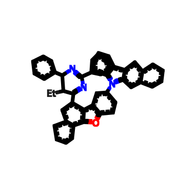 CCC1C(c2cc3ccccc3c3oc4ccc(-n5c6ccccc6c6cc7ccccc7cc65)cc4c23)=NC(c2ccccc2)=NC1c1ccccc1